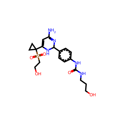 NC1=NC(c2ccc(NC(=O)NCCCO)cc2)NC(C2(S(=O)(=O)CCO)CC2)=C1